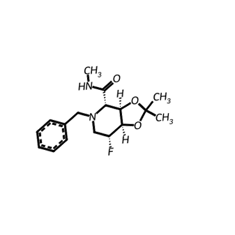 CNC(=O)[C@@H]1[C@H]2OC(C)(C)O[C@H]2[C@H](F)CN1Cc1ccccc1